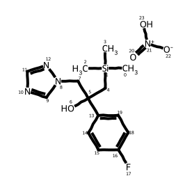 C[Si](C)(C)CC(O)(Cn1cncn1)c1ccc(F)cc1.O=[N+]([O-])O